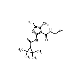 Cc1sc(NC(=O)C2C(C)(C)C2(C)C)c(C(=O)NCC(C)C)c1C